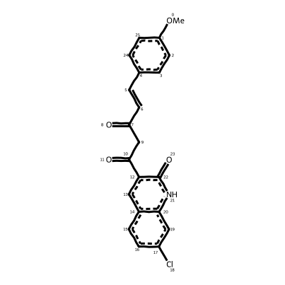 COc1ccc(/C=C/C(=O)CC(=O)c2cc3ccc(Cl)cc3[nH]c2=O)cc1